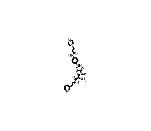 CCN1C(=O)[C@@H](CNc2ccc(NC(=O)CCN3CCN(C)CC3)cc2)S/C1=C(/N)C(=O)NCCc1cccnc1